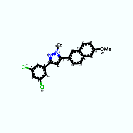 CCn1nc(-c2cc(Cl)cc(Cl)c2)cc1-c1ccc2cc(OC)ccc2c1